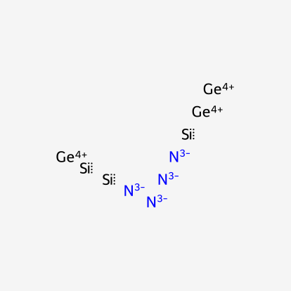 [Ge+4].[Ge+4].[Ge+4].[N-3].[N-3].[N-3].[N-3].[Si].[Si].[Si]